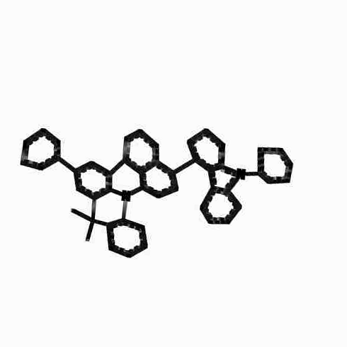 CC1(C)c2ccccc2N2c3c(cc(-c4ccccc4)cc31)-c1cccc3c(-c4cccc5c4c4ccccc4n5-c4ccccc4)ccc2c13